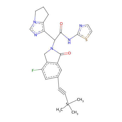 C[Si](C)(C)C#Cc1cc(F)c2c(c1)C(=O)N(C(C(=O)Nc1nccs1)c1ncn3c1CCC3)C2